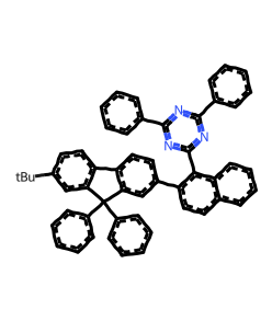 CC(C)(C)c1ccc2c(c1)C(c1ccccc1)(c1ccccc1)c1cc(-c3ccc4ccccc4c3-c3nc(-c4ccccc4)nc(-c4ccccc4)n3)ccc1-2